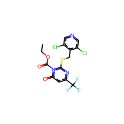 CCOC(=O)n1c(SCc2c(Cl)cncc2Cl)nc(C(F)(F)F)cc1=O